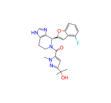 Cn1nc(C(C)(C)O)cc1C(=O)N1CCc2[nH]cnc2[C@H]1c1cc2c(F)cccc2o1